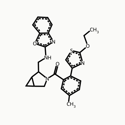 CCOc1nc(-c2ccc(C)cc2C(=O)N2CC3CC3C2CNc2nc3ccccc3o2)cs1